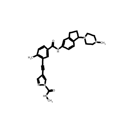 CNC(=O)n1cc(C#Cc2cc(C(=O)Nc3ccc4c(c3)CCC4N3CCN(C)CC3)ccc2C)cn1